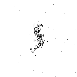 Cc1cn2nc(COC(F)(F)F)cc2c(Nc2cc([C@@H]3CC[C@H](OC(=O)NC(C)C)[C@@H]3F)[nH]n2)n1